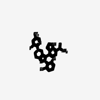 CCc1cccc(CC)c1-n1nc2c(c1-c1ccc(C(N)=O)c3[nH]ccc13)CN(c1ncc(C(F)(F)F)cc1F)CC2